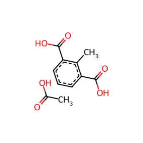 CC(=O)O.Cc1c(C(=O)O)cccc1C(=O)O